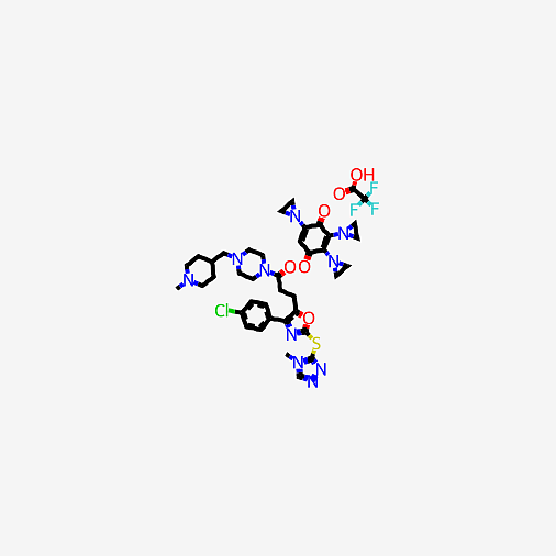 CN1CCC(CN2CCN(C(=O)CCc3oc(Sc4nncn4C)nc3-c3ccc(Cl)cc3)CC2)CC1.O=C(O)C(F)(F)F.O=C1C=C(N2CC2)C(=O)C(N2CC2)=C1N1CC1